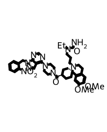 CCN(CCCN1CCc2cc(OC)c(OC)cc2[C@]12CC[C@H](C(=O)N1CCN(c3ncnc4c3cnn4Cc3ccccc3[N+](=O)[O-])CC1)CC2)C(N)=O